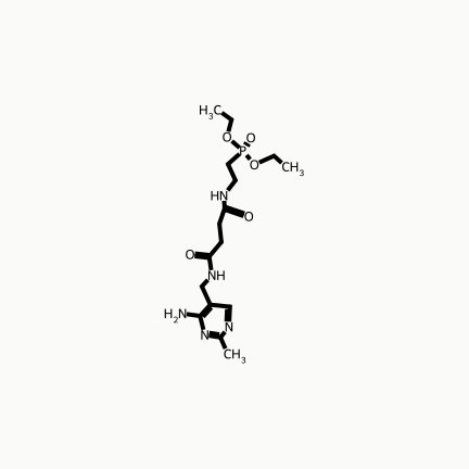 CCOP(=O)(CCNC(=O)CCC(=O)NCc1cnc(C)nc1N)OCC